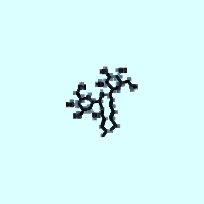 CCC=CC=CC(OC(C=CC=CCC)C1O[C@H](CO)[C@@H](O)[C@H](O)[C@H]1O)C1O[C@H](CO)[C@@H](O)[C@H](O)[C@H]1O